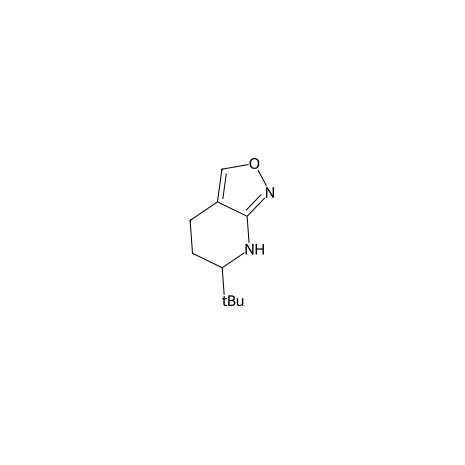 CC(C)(C)C1CCc2conc2N1